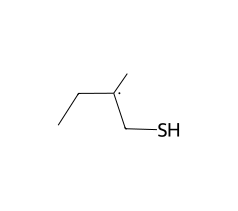 CC[C](C)CS